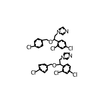 Clc1ccc(COC(Cn2ccnc2)c2ccc(Cl)cc2Cl)cc1.Clc1ccc(COC(Cn2ccnc2)c2ccc(Cl)cc2Cl)cc1